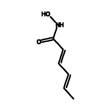 CC=CC=CC(=O)NO